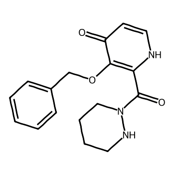 O=C(c1[nH]ccc(=O)c1OCc1ccccc1)N1CCCCN1